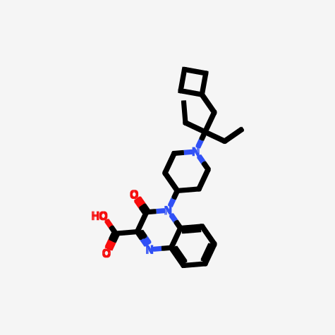 CCC(CC)(CC1CCC1)N1CCC(n2c(=O)c(C(=O)O)nc3ccccc32)CC1